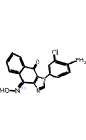 O=C1c2ccccc2/C(=N\O)c2ncn(-c3ccc(P)c(Cl)c3)c21